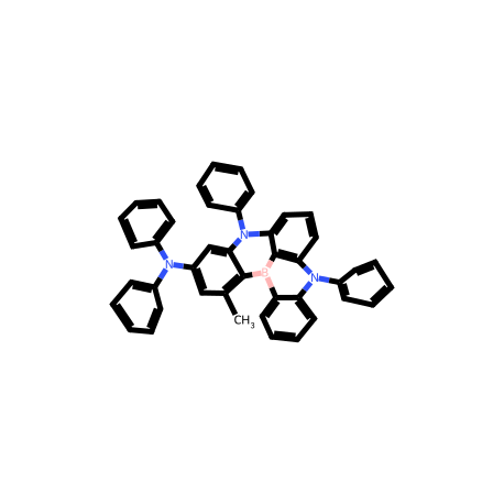 Cc1cc(N(c2ccccc2)c2ccccc2)cc2c1B1c3ccccc3N(c3ccccc3)c3cccc(c31)N2c1ccccc1